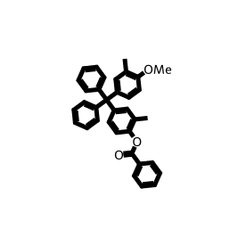 COc1ccc(C(c2ccccc2)(c2ccccc2)c2ccc(OC(=O)c3ccccc3)c(C)c2)cc1C